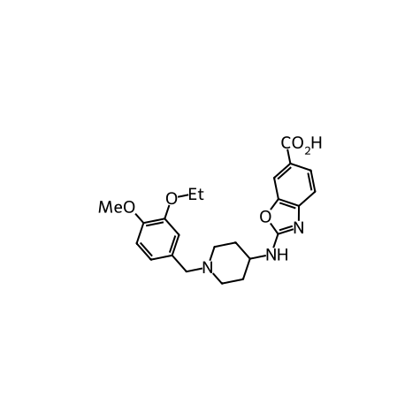 CCOc1cc(CN2CCC(Nc3nc4ccc(C(=O)O)cc4o3)CC2)ccc1OC